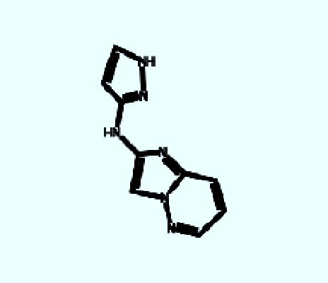 c1cnn2cc(Nc3cc[nH]n3)nc2c1